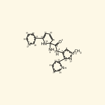 Cn1cc(NC(=O)C2(N)C=CC=C(c3cccnc3)N2)c(-c2ccccn2)n1